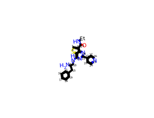 CCNC(=O)c1csc2c(NC[C@H](N)Cc3ccccc3)nc(-c3ccncc3)nc12